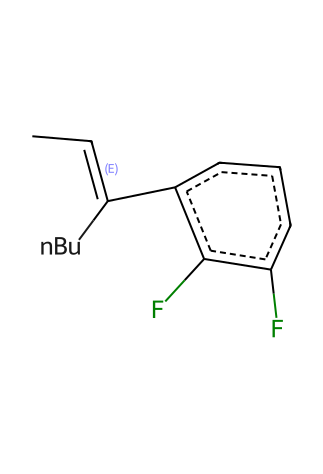 C/C=C(\CCCC)c1cccc(F)c1F